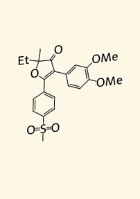 CCC1(C)OC(c2ccc(S(C)(=O)=O)cc2)=C(c2ccc(OC)c(OC)c2)C1=O